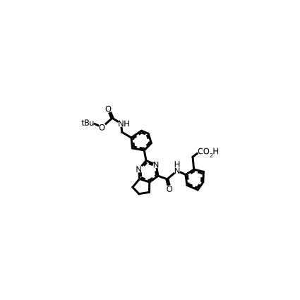 CC(C)(C)OC(=O)NCc1cccc(-c2nc3c(c(C(=O)Nc4ccccc4CC(=O)O)n2)CCC3)c1